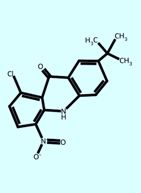 CC(C)(C)c1ccc2[nH]c3c([N+](=O)[O-])ccc(Cl)c3c(=O)c2c1